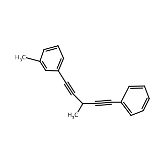 Cc1cccc(C#CC(C)C#Cc2ccccc2)c1